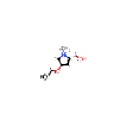 CCO[C@@H]1C[C@@H](CO)N(C)C1